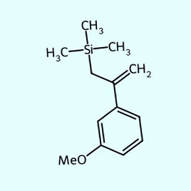 C=C(C[Si](C)(C)C)c1cccc(OC)c1